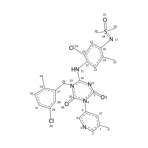 Cc1cncc(-n2c(=O)nc(Nc3cc(C)c(N=S(C)(C)=O)cc3Cl)n(Cc3cc(Cl)ccc3C)c2=O)c1